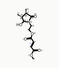 COC(=O)/C=C/C(=O)OCCN1C(=O)[C@H](C)[C@H](C)C1O